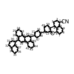 N#Cc1ccc2c3c(cccc13)Oc1cc(-c3ccc(-c4cc5c6ccccc6c(-c6cccc7ccccc67)cc5c5ccccc45)cc3)ccc1-2